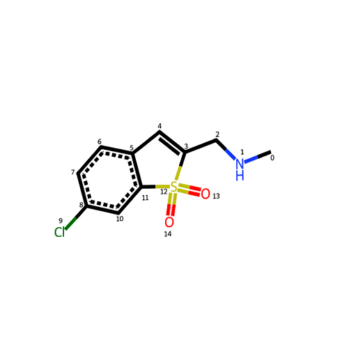 CNCC1=Cc2ccc(Cl)cc2S1(=O)=O